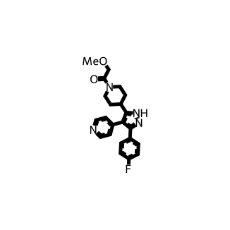 COCC(=O)N1CCC(c2[nH]nc(-c3ccc(F)cc3)c2-c2ccncc2)CC1